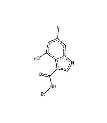 CCNC(=O)c1cnn2cc(Br)cc(O)c12